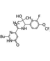 CC(C)(C)c1nc(C(=O)NC(c2ccc(OC(F)(F)F)c(F)c2)C(C)(C)O)cc(=O)[nH]1